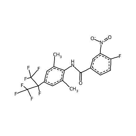 Cc1cc(C(F)(C(F)(F)F)C(F)(F)F)cc(C)c1NC(=O)c1ccc(F)c([N+](=O)[O-])c1